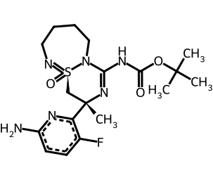 CC(C)(C)OC(=O)NC1=N[C@](C)(c2nc(N)ccc2F)C[S@@]2(=O)=NCCCCN12